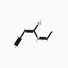 C#C/C=C(CC)\N=C/C